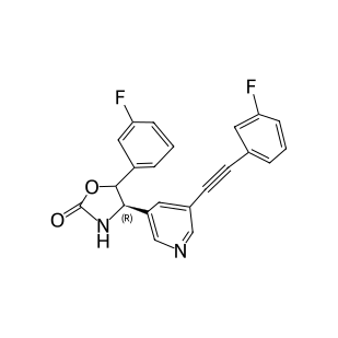 O=C1N[C@H](c2cncc(C#Cc3cccc(F)c3)c2)C(c2cccc(F)c2)O1